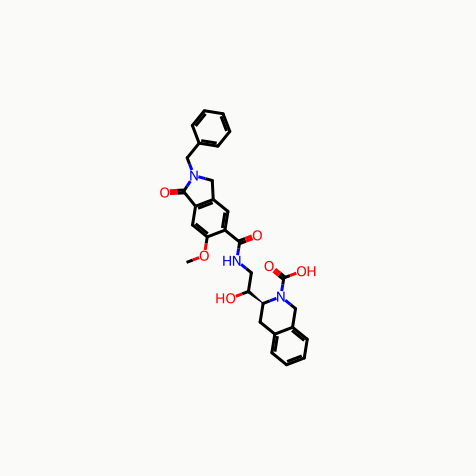 COc1cc2c(cc1C(=O)NCC(O)[C@@H]1Cc3ccccc3CN1C(=O)O)CN(Cc1ccccc1)C2=O